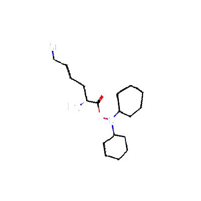 NCCCC[C@H](N)C(=O)ON(C1CCCCC1)C1CCCCC1